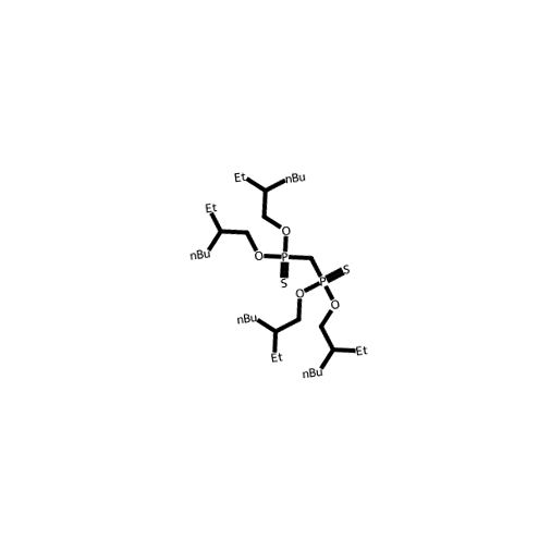 CCCCC(CC)COP(=S)(CP(=S)(OCC(CC)CCCC)OCC(CC)CCCC)OCC(CC)CCCC